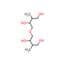 CC(CO)C(O)COCC(O)C(C)CO